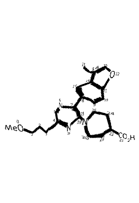 COCCCc1cnc(-c2ccc3occ(C)c3c2)c(N2CCC(C(=O)O)CC2)n1